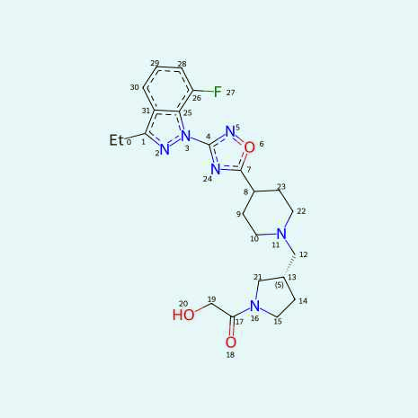 CCc1nn(-c2noc(C3CCN(C[C@@H]4CCN(C(=O)CO)C4)CC3)n2)c2c(F)cccc12